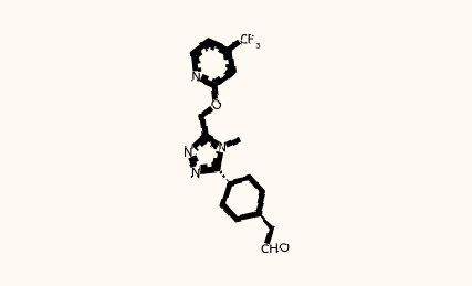 Cn1c(COc2cc(C(F)(F)F)ccn2)nnc1[C@H]1CC[C@H](CC=O)CC1